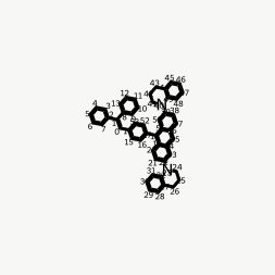 C(=C(c1ccccc1)c1ccccc1)c1ccc(-c2c3ccc(N4CCCc5ccccc54)cc3cc3ccc(N4CCCc5ccccc54)cc23)cc1